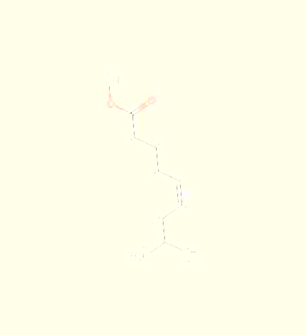 COC(=O)CCC/C=C\CC(C)C